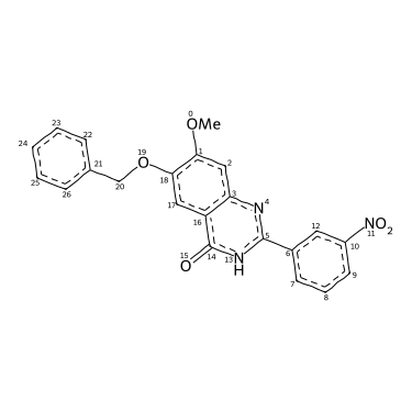 COc1cc2nc(-c3cccc([N+](=O)[O-])c3)[nH]c(=O)c2cc1OCc1ccccc1